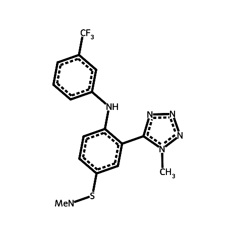 CNSc1ccc(Nc2cccc(C(F)(F)F)c2)c(-c2nnnn2C)c1